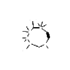 CC(C)C1[PH](C)(C)[PH](C)(C)P(C)CP(C)C#CP1(C)(C)C